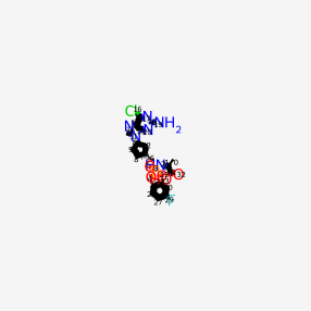 C[C@H](NP(=O)(OC[C@@H]1C=C[C@H](n2cnc3c(Cl)nc(N)nc32)C1)Oc1cccc(F)c1)C(=O)O